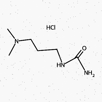 CN(C)CCCNC(N)=O.Cl